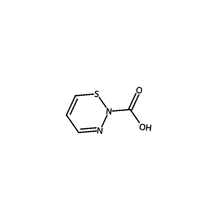 O=C(O)N1N=CC=CS1